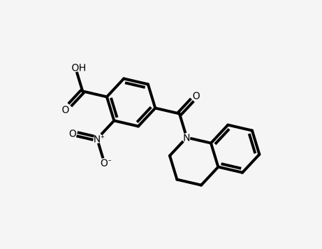 O=C(O)c1ccc(C(=O)N2CCCc3ccccc32)cc1[N+](=O)[O-]